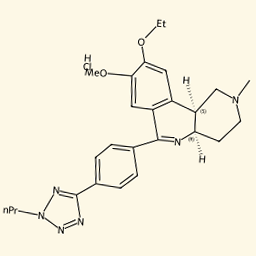 CCCn1nnc(-c2ccc(C3=N[C@@H]4CCN(C)C[C@@H]4c4cc(OCC)c(OC)cc43)cc2)n1.Cl